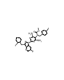 COC(=O)N(Cc1ccc(I)cc1)c1c(N)nc(-n2nc(Cc3ccccc3F)c3ncc(F)cc32)nc1N